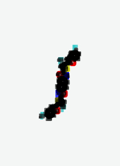 Fc1ccc2oc(-c3sc(-c4nc5cc6cc7oc(-c8cc(F)c(-c9cc%10cc(F)ccc%10o9)s8)nc7cc6cc5o4)cc3F)cc2c1